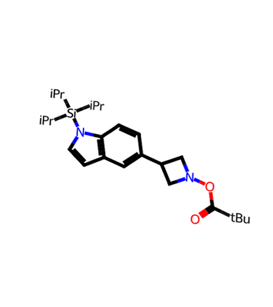 CC(C)[Si](C(C)C)(C(C)C)n1ccc2cc(C3CN(OC(=O)C(C)(C)C)C3)ccc21